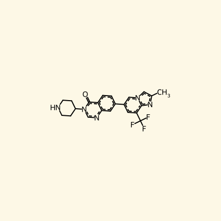 Cc1cn2cc(-c3ccc4c(=O)n(C5CCNCC5)cnc4c3)cc(C(F)(F)F)c2n1